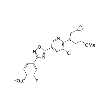 COCCN(CC1CC1)c1ncc(-c2nc(-c3ccc(C(=O)O)c(F)c3)no2)cc1Cl